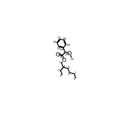 CCCCC(CC)COC(=O)C(OC)c1ccccc1